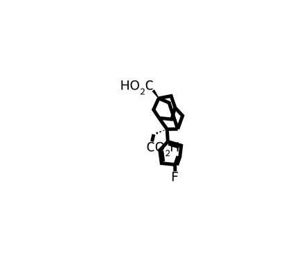 O=C(O)C[C@]1(c2ccc(F)cc2)C2CC3CC1C[C@@](C(=O)O)(C3)C2